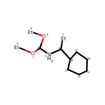 CCOC(OCC)[SiH2]C(CC)[C]1CCCCC1